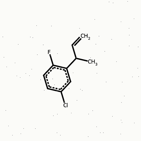 C=CC(C)c1cc(Cl)ccc1F